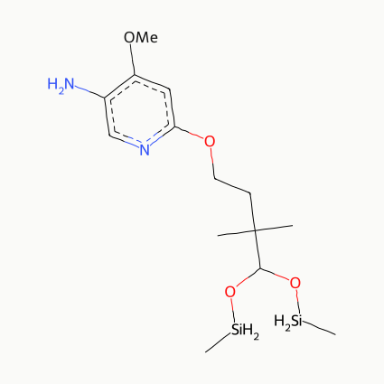 COc1cc(OCCC(C)(C)C(O[SiH2]C)O[SiH2]C)ncc1N